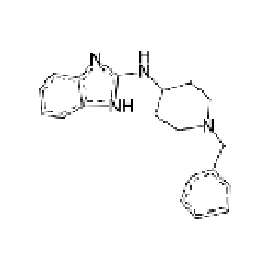 c1ccc(CN2CCC(Nc3nc4ccccc4[nH]3)CC2)cc1